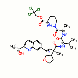 CC(C)[C@H](NC(=O)C(C)(/C=C/c1ccc2ccc([C@@H](C)O)nc2c1)C1CCOC1)C(=O)N[C@@H](C)C(=O)N1CCC[C@@H](C(=O)OCC(Cl)(Cl)Cl)N1